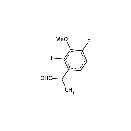 COc1c(F)ccc(C(C)C=O)c1F